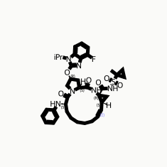 CC(C)n1c(O[C@@H]2C[C@H]3C(=O)N[C@]4(C(=O)NS(=O)(=O)C5(C)CC5)C[C@H]4/C=C\CCCCC[C@H](Nc4ccccc4)C(=O)N3C2)nc2c(F)cccc21